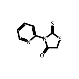 O=C1CSC(=S)N1c1ccccn1